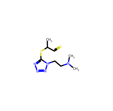 CC(C=S)Sc1nnnn1CCN(C)C